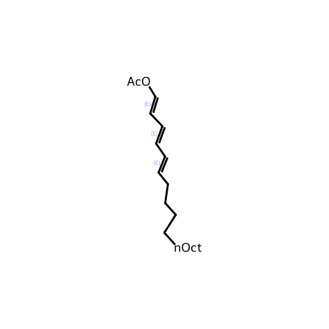 CCCCCCCCCCCC/C=C/C=C/C=C/OC(C)=O